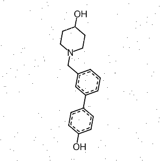 Oc1ccc(-c2cccc(CN3CCC(O)CC3)c2)cc1